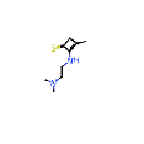 CC1=C(NCCN(C)C)C(=S)C1